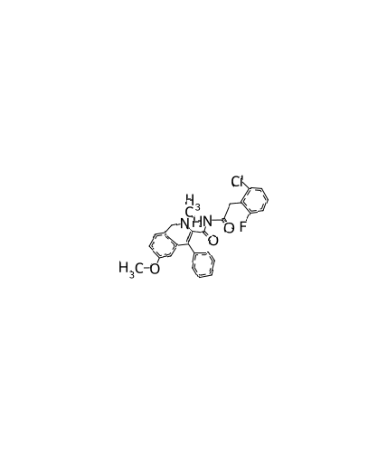 COc1ccc2c(c1)C(c1ccccc1)=C(C(=O)NC(=O)Cc1c(F)cccc1Cl)N(C)C2